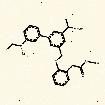 COC(C)c1cc(COc2ccccc2CC(=O)OC(C)(C)C)cc(-c2cccc([C@H](N)CF)c2)c1